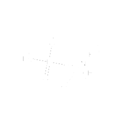 O=C([O-])O.O=P([O-])([O-])O.[K+].[K+].[Na+]